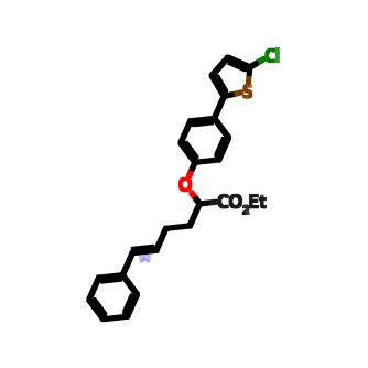 CCOC(=O)C(CC/C=C/c1ccccc1)Oc1ccc(-c2ccc(Cl)s2)cc1